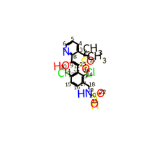 CC1(C)c2cccnc2C(O)=C(c2c(Cl)ccc(CN[SH](=O)=O)c2Cl)S1(=O)=O